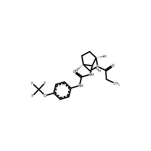 CCC(=O)N1C[C@H]2CC[C@@H]1[C@H]2NC(=O)Nc1ccc(OC(F)(F)F)cc1